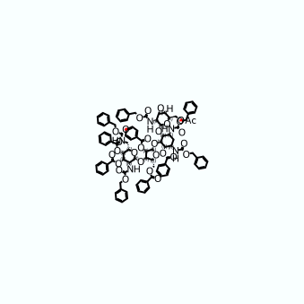 CC(=O)OC[C@H]1O[C@H](O[C@H]2[C@H](O[C@@H]3O[C@H](COC(=O)c4ccccc4)[C@@H](O[C@H]4O[C@@H](CNC(=O)OCc5ccccc5)[C@@H](OC(=O)c5ccccc5)[C@H](OC(=O)c5ccccc5)[C@H]4NC(=O)OCc4ccccc4)[C@H]3OC(=O)c3ccccc3)[C@@H](OC(=O)c3ccccc3)[C@H](NC(=O)OCc3ccccc3)C[C@@H]2NC(=O)OCc2ccccc2)[C@H](NC(=O)OCc2ccccc2)C2O[C@H]21